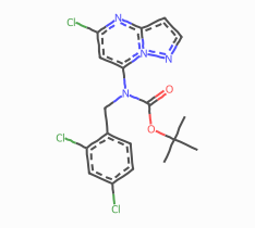 CC(C)(C)OC(=O)N(Cc1ccc(Cl)cc1Cl)c1cc(Cl)nc2ccnn12